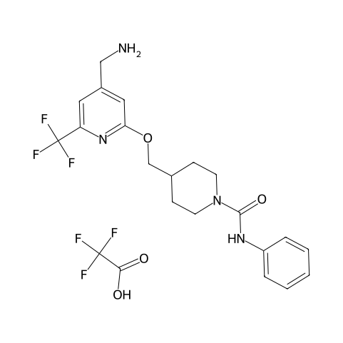 NCc1cc(OCC2CCN(C(=O)Nc3ccccc3)CC2)nc(C(F)(F)F)c1.O=C(O)C(F)(F)F